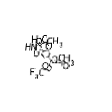 CC1(COC(c2ccc3c(c2)OC(C)(C)CC32C(=O)Nc3ccccc32)c2ccc(C(F)(F)F)o2)COC1